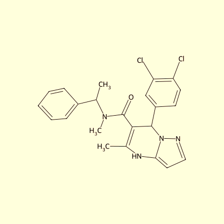 CC1=C(C(=O)N(C)C(C)c2ccccc2)C(c2ccc(Cl)c(Cl)c2)n2nccc2N1